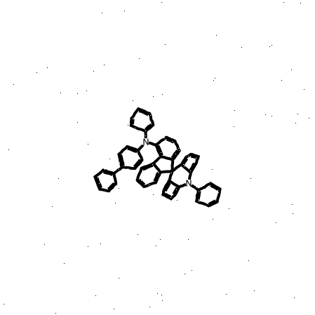 c1ccc(-c2ccc(N(c3ccccc3)c3cccc4c3-c3ccccc3C43c4ccccc4N(c4ccccc4)c4ccccc43)cc2)cc1